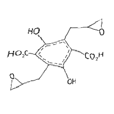 O=C(O)c1c(O)c(CC2CO2)c(C(=O)O)c(O)c1CC1CO1